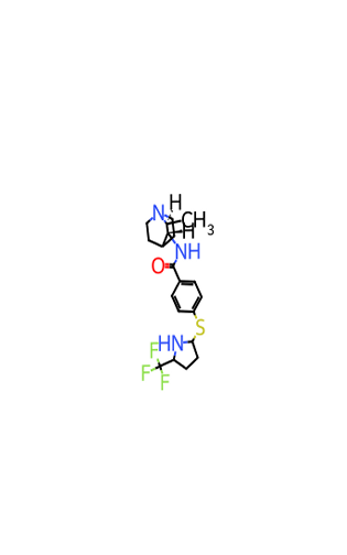 C[C@H]1[C@H](NC(=O)c2ccc(SC3CCC(C(F)(F)F)N3)cc2)C2CCN1CC2